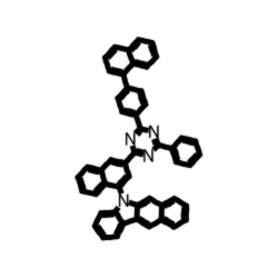 c1ccc(-c2nc(-c3ccc(-c4cccc5ccccc45)cc3)nc(-c3cc(-n4c5ccccc5c5cc6ccccc6cc54)c4ccccc4c3)n2)cc1